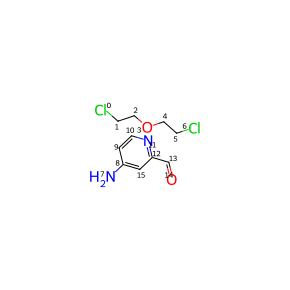 ClCCOCCCl.Nc1ccnc(C=O)c1